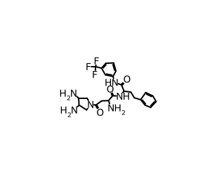 NC(CC(=O)N1CC(N)C(N)C1)C(=O)NC(CCc1ccccc1)C(=O)Nc1cccc(C(F)(F)F)c1